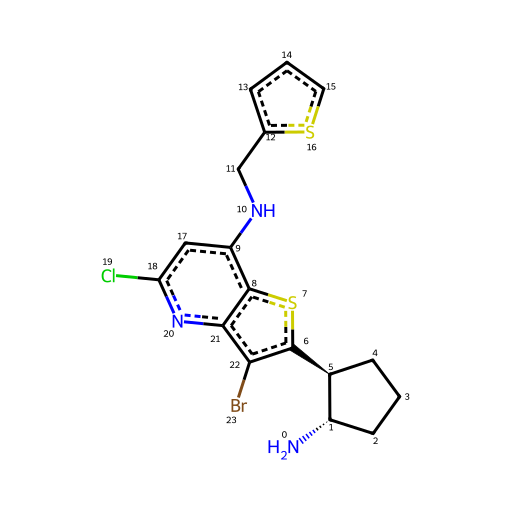 N[C@H]1CCC[C@@H]1c1sc2c(NCc3cccs3)cc(Cl)nc2c1Br